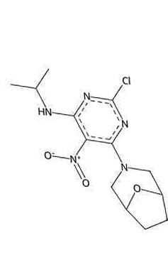 CC(C)Nc1nc(Cl)nc(N2CC3CCC(C2)O3)c1[N+](=O)[O-]